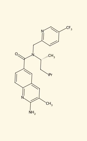 Cc1cc2cc(C(=O)N(Cc3ccc(C(F)(F)F)cn3)[C@H](C)CC(C)C)ccc2nc1N